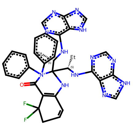 CC[C@H](Nc1ncnc2[nH]cnc12)C1([C@H](CC)Nc2ncnc3nc[nH]c23)NC2=C(C(=O)[N+]1(c1ccccc1)c1ccccc1)C(F)(F)CC=C2